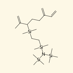 C=CC(=C)CCC(C(=C)C)[Si](C)(C)CC[Si](C)(C)N([Si](C)(C)C)[Si](C)(C)C